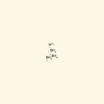 [BH4-].[BH4-].[BH4-].[N+3]